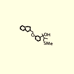 CSCC(C)C(C)(O)c1cccc(OCc2ccc3ccccc3c2)c1